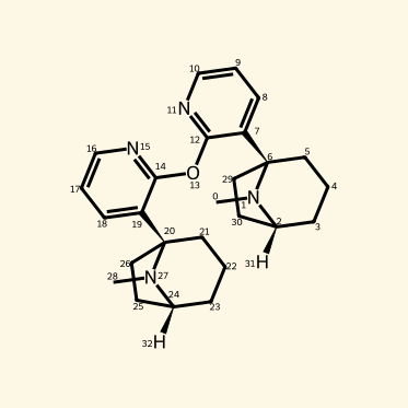 CN1[C@@H]2CCC[C@@]1(c1cccnc1Oc1ncccc1[C@]13CCC[C@H](CC1)N3C)CC2